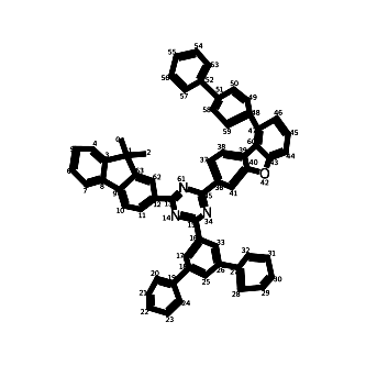 CC1(C)c2ccccc2-c2ccc(-c3nc(-c4cc(-c5ccccc5)cc(-c5ccccc5)c4)nc(-c4ccc5c(c4)oc4cccc(-c6ccc(-c7ccccc7)cc6)c45)n3)cc21